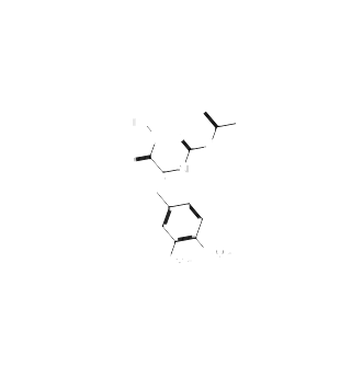 C=C(C)OC(=O)N[C@H](Cc1ccc(OC)c(OC)c1)C(=O)OC(C)C